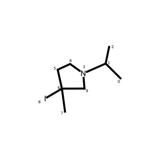 CC(C)N1CCC(C)(I)C1